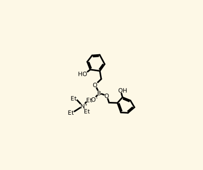 CC[N+](CC)(CC)CC.[O-]B(OCc1ccccc1O)OCc1ccccc1O